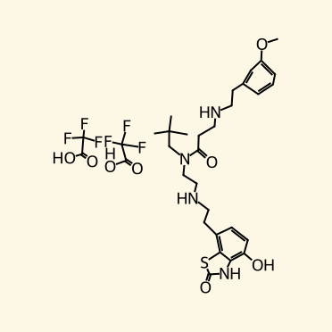 COc1cccc(CCNCCC(=O)N(CCNCCc2ccc(O)c3[nH]c(=O)sc23)CC(C)(C)C)c1.O=C(O)C(F)(F)F.O=C(O)C(F)(F)F